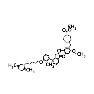 CCOc1cc(O[C@H]2CCc3c(-c4cccc(OCCCCCC5C[C@H](C)CC[C@H]5C)c4C)cccc32)c(Cl)cc1CC1CCCC(C(=O)OC)CC1